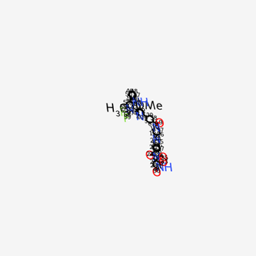 COc1cc(C2CCC(C(=O)N3CCC(N4Cc5cc6c(cc5C4)C(=O)N(C4CCC(=O)NC4=O)C6=O)CC3)CC2)ncc1[C@@H]1c2[nH]c3ccccc3c2C[C@@H](C)N1CC(F)F